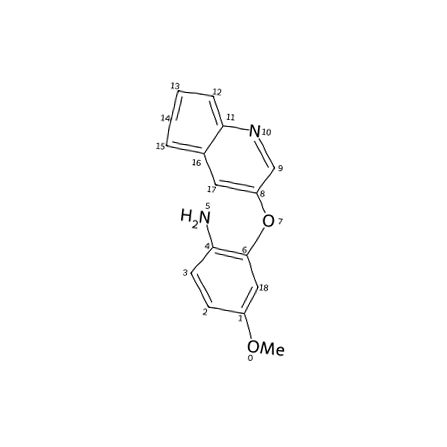 COc1ccc(N)c(Oc2cnc3ccccc3c2)c1